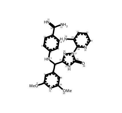 COc1cc(C(Nc2ccc(C(=N)N)cc2)c2nn(-c3ncccc3N)c(=O)[nH]2)cc(OC)n1